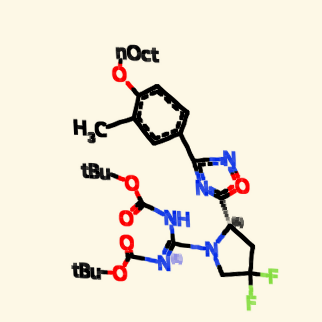 CCCCCCCCOc1ccc(-c2noc([C@@H]3CC(F)(F)CN3/C(=N/C(=O)OC(C)(C)C)NC(=O)OC(C)(C)C)n2)cc1C